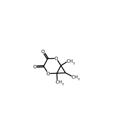 CC1C2(C)OC(=O)C(=O)OC12C